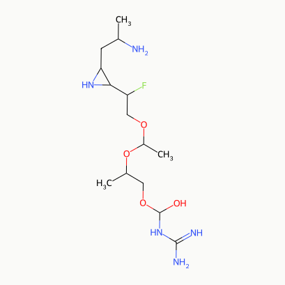 CC(N)CC1NC1C(F)COC(C)OC(C)COC(O)NC(=N)N